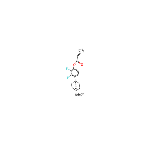 CC=CC(=O)Oc1ccc(C23CCC(CCCCCCC)(CC2)CC3)c(F)c1F